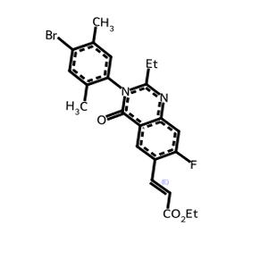 CCOC(=O)/C=C/c1cc2c(=O)n(-c3cc(C)c(Br)cc3C)c(CC)nc2cc1F